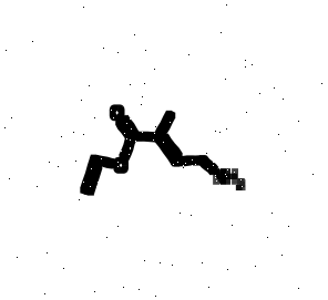 C=COC(=O)C(C)=CCN